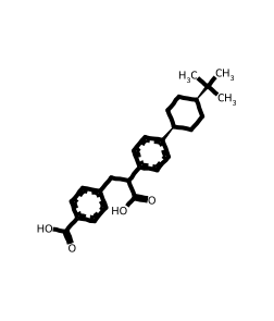 CC(C)(C)[C@H]1CC[C@@H](c2ccc(C(Cc3ccc(C(=O)O)cc3)C(=O)O)cc2)CC1